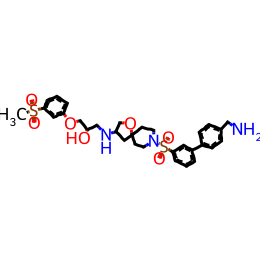 CS(=O)(=O)c1cccc(OCC(O)CNC2COC3(CCN(S(=O)(=O)c4cccc(-c5ccc(CN)cc5)c4)CC3)C2)c1